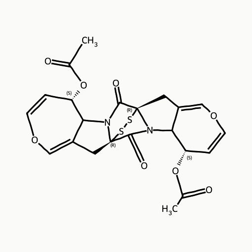 CC(=O)O[C@H]1C=COC=C2C[C@@]34SS[C@]5(CC6=COC=C[C@H](OC(C)=O)C6N5C3=O)C(=O)N4C21